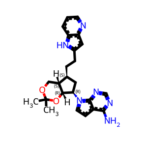 CC1(C)OC[C@@H]2[C@@H](CCc3cc4ncccc4[nH]3)C[C@@H](n3ccc4c(N)ncnc43)[C@@H]2O1